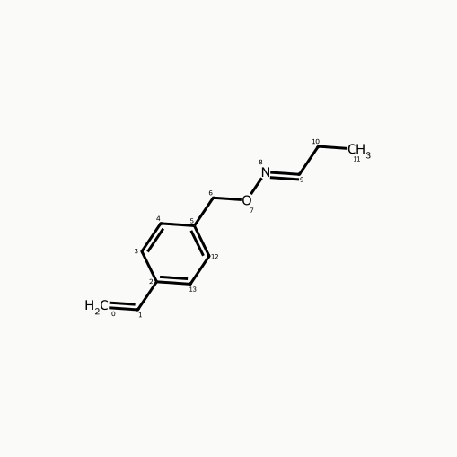 C=Cc1ccc(CON=CCC)cc1